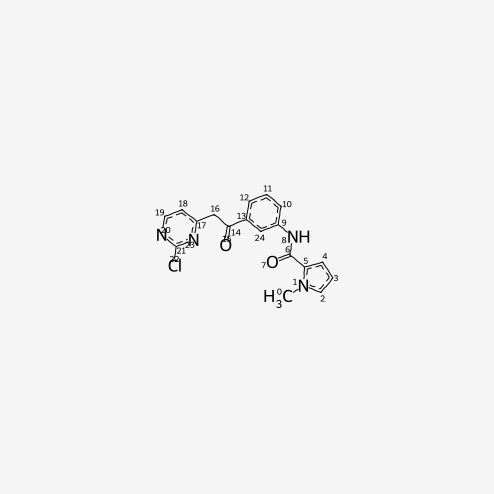 Cn1cccc1C(=O)Nc1cccc(C(=O)Cc2ccnc(Cl)n2)c1